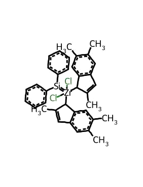 CC1=Cc2cc(C)c(C)cc2[CH]1[Zr]([Cl])([Cl])([CH]1C(C)=Cc2cc(C)c(C)cc21)=[Si](c1ccccc1)c1ccccc1